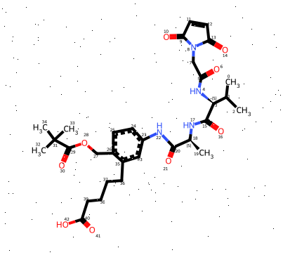 CC(C)[C@H](NC(=O)CN1C(=O)C=CC1=O)C(=O)N[C@@H](C)C(=O)Nc1ccc(COC(=O)C(C)(C)C)c(CCCCC(=O)O)c1